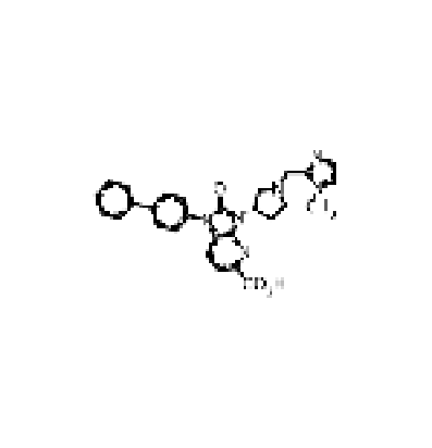 Cn1ccnc1CN1CC[C@H](n2c(=O)n(-c3ccc(-c4ccccc4)cc3)c3ccc(C(=O)O)nc32)C1